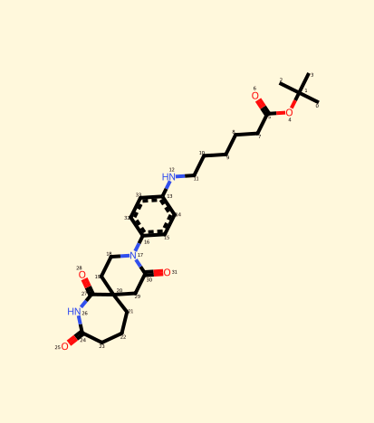 CC(C)(C)OC(=O)CCCCCNc1ccc(N2CCC3(CCCC(=O)NC3=O)CC2=O)cc1